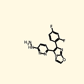 NNc1ccc(-c2c(-c3ccc(F)cc3F)nc3occn23)nn1